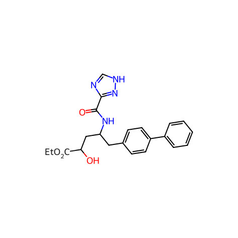 CCOC(=O)C(O)CC(Cc1ccc(-c2ccccc2)cc1)NC(=O)c1nc[nH]n1